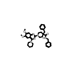 COc1cc2nc(N3CCC(Cc4ccccc4)(C(=O)NCc4ccccc4)CC3)nc(N3CCCCC3)c2cc1OC